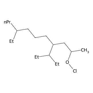 CCCC(CC)CCCC(CC(C)OCl)C(CC)CC